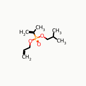 C=CCOP(=O)(OCC(C)C)C(=C)C